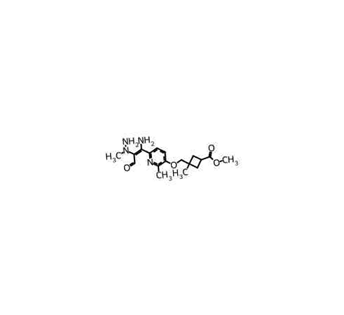 COC(=O)C1CC(C)(COc2ccc(/C(N)=C(\C=O)N(C)N)nc2C)C1